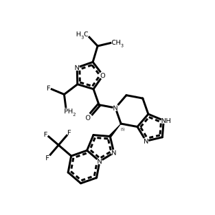 CC(C)c1nc(C(F)P)c(C(=O)N2CCc3[nH]cnc3[C@H]2c2cc3c(C(F)(F)F)cccn3n2)o1